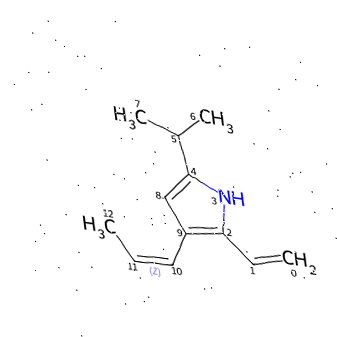 C=Cc1[nH]c(C(C)C)cc1/C=C\C